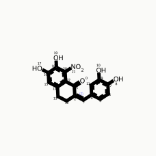 O=C1/C(=C\c2ccc(O)c(O)c2)CCc2cc(O)c(O)c([N+](=O)[O-])c21